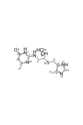 Cc1cc(=O)[nH]c(NCCSCc2[nH]cnc2C)n1.Cl.Cl